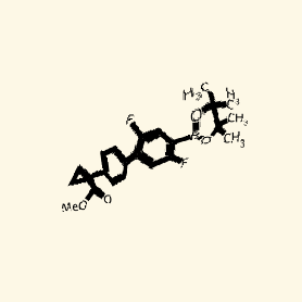 COC(=O)C1(c2ccc(-c3cc(F)c(B4OC(C)(C)C(C)(C)O4)cc3F)cc2)CC1